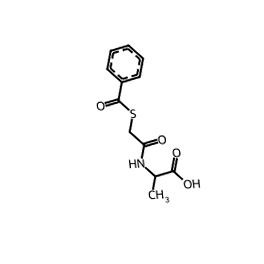 CC(NC(=O)CSC(=O)c1ccccc1)C(=O)O